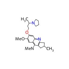 CNc1c2c(nc3cc(OCCC(C)N4CCCC4)c(OC)cc13)CC(C)C2